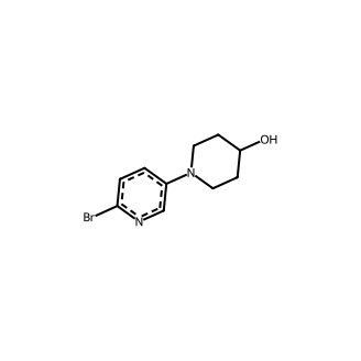 OC1CCN(c2ccc(Br)nc2)CC1